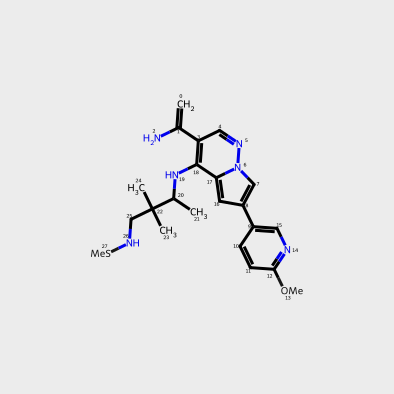 C=C(N)c1cnn2cc(-c3ccc(OC)nc3)cc2c1NC(C)C(C)(C)CNSC